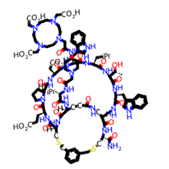 CC(C)C[C@@H]1NC(=O)[C@H](Cc2c[nH]c3ccccc23)NC(=O)[C@H](CC(=O)O)NC(=O)[C@H]2CCCN2C(=O)[C@H](CCC(=O)O)NC(=O)[C@@H]2CSCc3cccc(c3)CSC[C@@H](C(N)=O)NC(=O)[C@H](CNC(=O)CC[C@H](NC(=O)[C@@H](NC(=O)CN3CCC(NC(=O)CN4CCN(CC(=O)O)CCN(CC(=O)O)CCN(CC(=O)O)CC4)CC3)C(C)C)C(=O)N2)NC(=O)[C@H](Cc2c[nH]c3ccccc23)NC(=O)[C@H]([C@@H](C)O)NC1=O